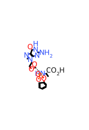 C[C@H](NP(=O)(OC[C@@H]1OC[C@H](n2cnc3c(=O)[nH]c(N)nc32)O1)Oc1ccccc1)C(=O)O